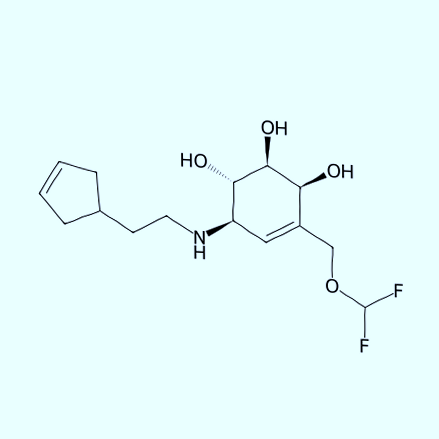 O[C@@H]1[C@@H](O)[C@@H](O)C(COC(F)F)=C[C@H]1NCCC1CC=CC1